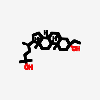 CC[C@@]1(O)CC[C@@]2(C)C(=CC[C@H]3[C@@H]4CC[C@H]([C@H](C)CCC(C)(C)O)[C@@]4(C)CC[C@@H]32)C1